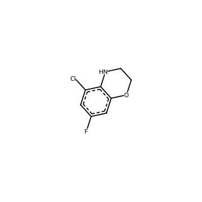 Fc1cc(Cl)c2c(c1)OCCN2